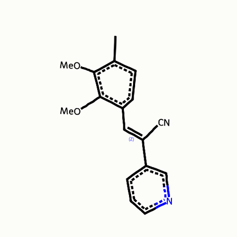 COc1c(C)ccc(/C=C(\C#N)c2cccnc2)c1OC